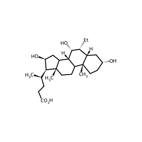 CC[C@H]1[C@@H](O)[C@H]2C3C[C@H](O)[C@H]([C@H](C)CCC(=O)O)[C@@]3(C)CCC2[C@@]2(C)CC[C@@H](O)C[C@@H]12